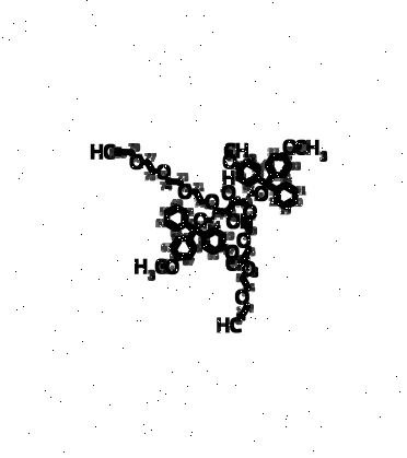 C#CCOCCOCCOCCO[C@@H](COC(c1ccccc1)(c1ccc(OC)cc1)c1ccc(OC)cc1)[C@H](O)[C@@H](O)[C@H](COC(c1ccccc1)(c1ccc(OC)cc1)c1ccc(OC)cc1)OCCOCCOCCOCC#C